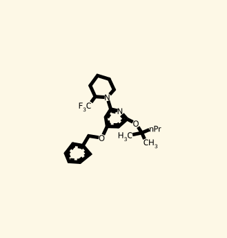 CCCC(C)(C)Oc1cc(OCc2ccccc2)cc(N2CCCCC2C(F)(F)F)n1